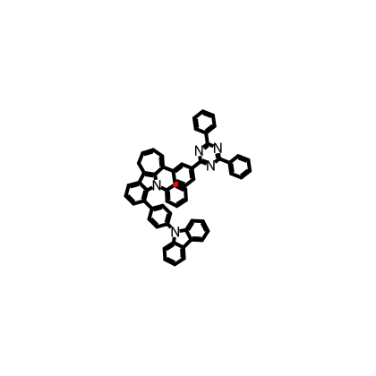 C1=CCc2c(n(-c3ccccc3)c3c(-c4ccc(-n5c6ccccc6c6ccccc65)cc4)cccc23)C(c2cccc(-c3nc(-c4ccccc4)nc(-c4ccccc4)n3)c2)=C1